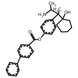 CC(N)C(C)(c1ccc(OC(=O)c2ccc(-c3ccccc3)cc2)cc1)C1(O)CCCCC1